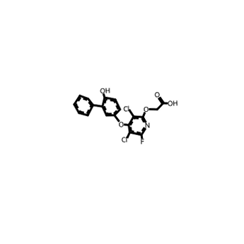 O=C(O)COc1nc(F)c(Cl)c(Oc2ccc(O)c(-c3ccccc3)c2)c1Cl